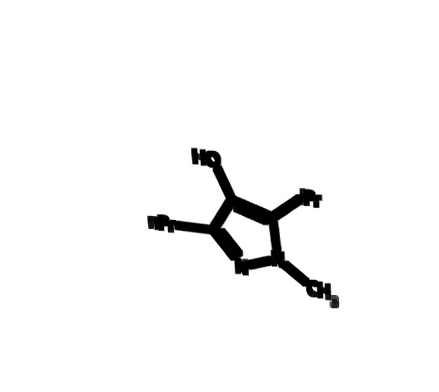 CCCc1nn(C)c(C(C)C)c1O